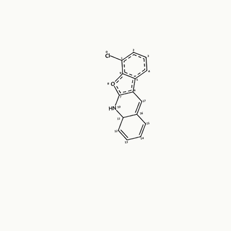 Clc1cccc2c3c(oc12)NC1C=CC=CC1=C3